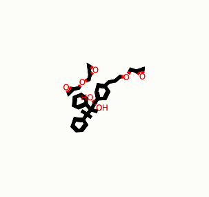 C(OCC1CO1)C1CO1.CC(C)(c1ccccc1)C(C)(c1ccccc1)C(O)(O)c1ccc(CCCOCC2CO2)cc1